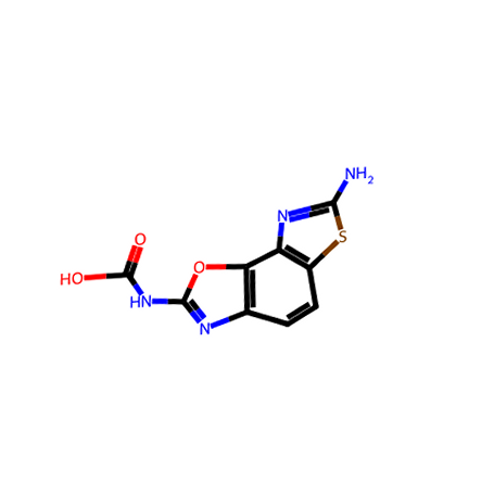 Nc1nc2c(ccc3nc(NC(=O)O)oc32)s1